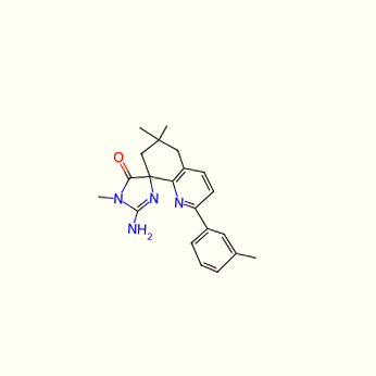 Cc1cccc(-c2ccc3c(n2)C2(CC(C)(C)C3)N=C(N)N(C)C2=O)c1